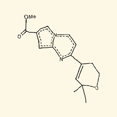 COC(=O)c1cc2nc(C3=CC(C)(C)OCC3)ccn2c1